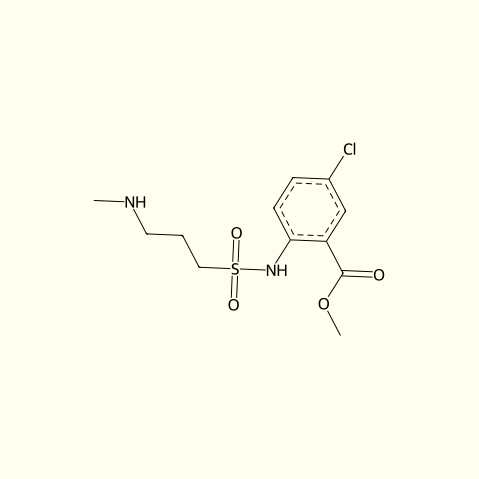 CNCCCS(=O)(=O)Nc1ccc(Cl)cc1C(=O)OC